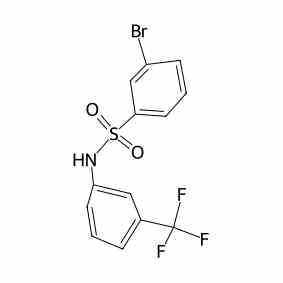 O=S(=O)(Nc1cccc(C(F)(F)F)c1)c1cccc(Br)c1